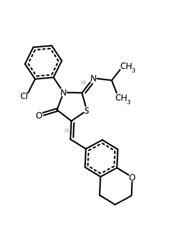 CC(C)/N=C1\S/C(=C\c2ccc3c(c2)CCCO3)C(=O)N1c1ccccc1Cl